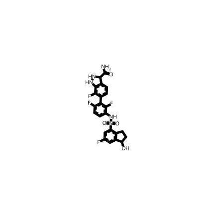 NC(=O)C1NNc2c1ccc(-c1c(F)ccc(NS(=O)(=O)c3cc(F)cc4c3CCC4O)c1F)c2F